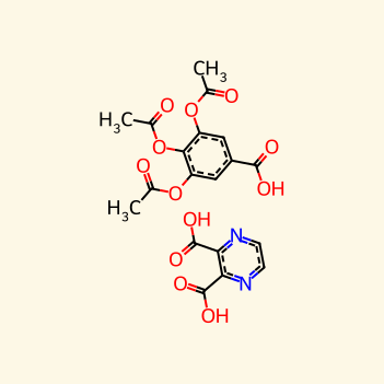 CC(=O)Oc1cc(C(=O)O)cc(OC(C)=O)c1OC(C)=O.O=C(O)c1nccnc1C(=O)O